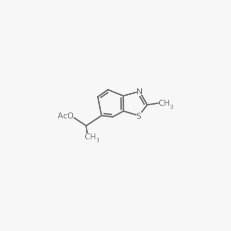 CC(=O)OC(C)c1ccc2nc(C)sc2c1